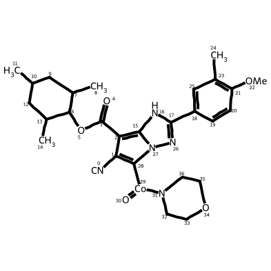 [C-]#[N+]c1c(C(=O)OC2C(C)CC(C)CC2C)c2[nH]c(-c3ccc(OC)c(C)c3)nn2[c]1[Co](=[O])[N]1CCOCC1